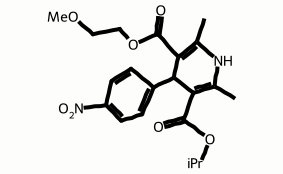 COCCOC(=O)C1=C(C)NC(C)=C(C(=O)OC(C)C)C1c1ccc([N+](=O)[O-])cc1